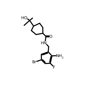 CC(C)(O)C1CCC(C(=O)NCc2cc(Br)cc(F)c2N)CC1